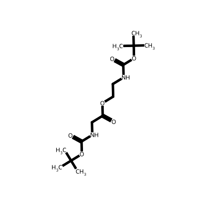 CC(C)(C)OC(=O)NCCOC(=O)CNC(=O)OC(C)(C)C